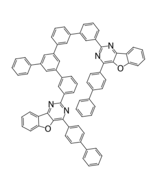 c1ccc(-c2ccc(-c3nc(-c4cccc(-c5cccc(-c6cc(-c7ccccc7)cc(-c7cccc(-c8nc(-c9ccc(-c%10ccccc%10)cc9)c9oc%10ccccc%10c9n8)c7)c6)c5)c4)nc4c3oc3ccccc34)cc2)cc1